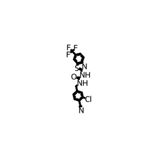 N#Cc1ccc(CNC(=O)Nc2nc3ccc(C(F)(F)F)cc3s2)cc1Cl